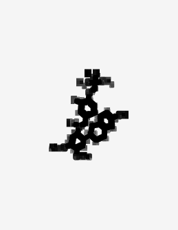 CCN(Cc1ccc(OCC(C)(C)N)c(F)c1)C1C=C(OC)C(OC)=CC1[C@@H]1CCc2cc(O)ccc2C1